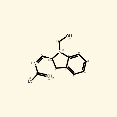 C=C(CC)/N=C\[C@@H]1Cc2ccccc2N1CO